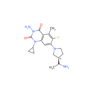 Cc1c(F)c(N2CC[C@@H](C(C)N)C2)cc2c1c(=O)n(N)c(=O)n2C1CC1